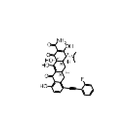 CN(C)[C@H]1C(O)=C(C(N)=O)C(=O)[C@]2(O)C(O)=C3C(=O)c4c(O)ccc(C#Cc5ccccc5F)c4C[C@@H]3C[C@H]12